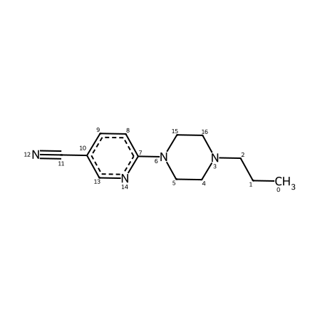 CCCN1CCN(c2ccc(C#N)cn2)CC1